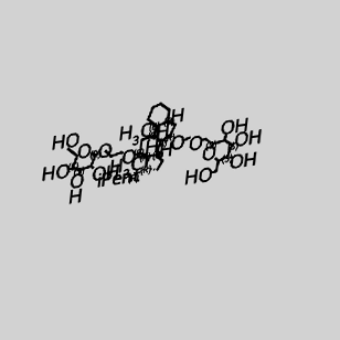 CCC[C@@H](C)[C@H]1CC[C@H]2[C@@H]3[C@H](OCOC[C@@H]4OC(CO)[C@@H](O)[C@H](O)C4O)C[C@@H]4CCCC[C@]4(C)[C@H]3C[C@H](OCCO[C@@H]3OC(CO)[C@@H](O)[C@H](O)C3O)[C@]12C